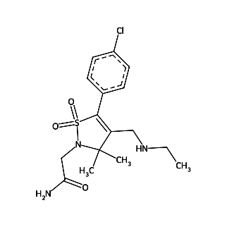 CCNCC1=C(c2ccc(Cl)cc2)S(=O)(=O)N(CC(N)=O)C1(C)C